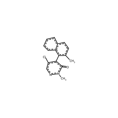 Cc1ccc2ccccc2c1-c1c(Cl)cnn(C)c1=O